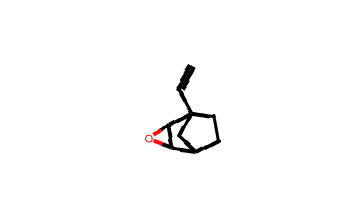 C=CC12CCC(C1)C1OC12